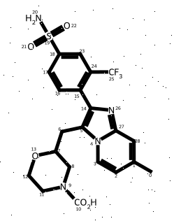 Cc1ccn2c(CC3CN(C(=O)O)CCO3)c(-c3ccc(S(N)(=O)=O)cc3C(F)(F)F)nc2c1